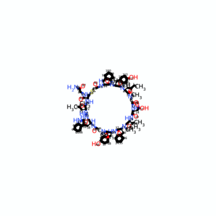 CCCC[C@H]1C(=O)N(C)CC(=O)N[C@@H](CC(=O)O)C(=O)N[C@@H](C(C)C)C(=O)N(C)[C@@H](Cc2ccccc2)C(=O)N[C@@H](Cc2ccc(O)cc2)C(=O)N(C)CC(=O)N[C@@H](Cc2c[nH]c3ccccc23)C(=O)NN[C@@H](CC(C)C)C(=O)N[C@H](C(=O)NCC(N)=O)CSCC(=O)N[C@@H](Cc2ccccc2)C(=O)N(C)[C@@H](Cc2ccc(O)cc2)C(=O)N1C